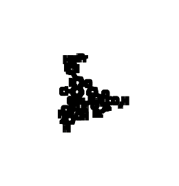 [C-]#[N+]COc1ccc2c(O[C@H]3C[C@@H](C(=O)NC4(C(=O)O)C[C@H]4CC)N(C(=O)[C@H](NC(=O)O[C@@H]4C[C@@H]5C[C@@H]5C4)C(C)(C)C)C3)cc(-c3csc(NC(C)C)n3)nc2c1Cl